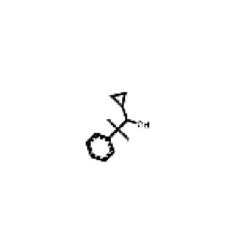 CC(C)(c1ccccc1)C(O)C1CC1